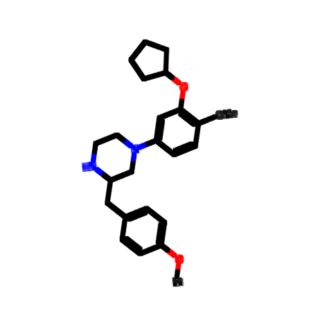 CCOc1ccc(CC2CN(c3ccc(OC)c(OC4CCCC4)c3)CCN2)cc1